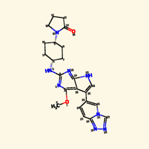 COc1nc(N[C@H]2CC[C@@H](N3CCCC3=O)CC2)nc2[nH]cc(-c3ccc4nncn4c3)c12